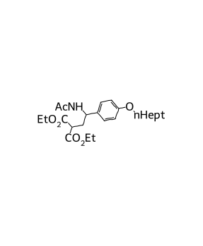 CCCCCCCOc1ccc(C(CC(C(=O)OCC)C(=O)OCC)NC(C)=O)cc1